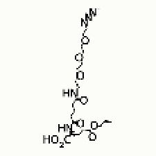 C=CCOC(=O)CC[C@H](NC(=O)CCCC(=O)NCCOCCOCCOCCN=[N+]=[N-])C(=O)O